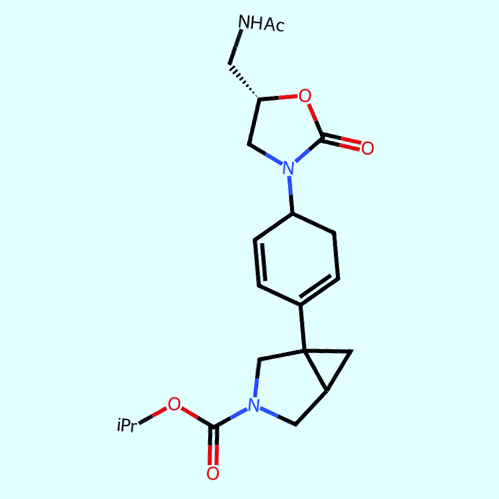 CC(=O)NC[C@H]1CN(C2C=CC(C34CC3CN(C(=O)OC(C)C)C4)=CC2)C(=O)O1